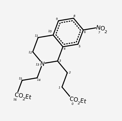 CCOC(=O)CCC1c2cc([N+](=O)[O-])ccc2CCN1CCC(=O)OCC